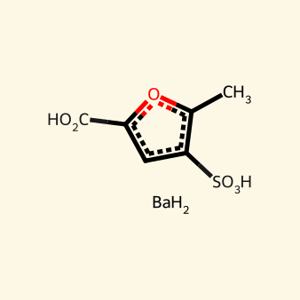 Cc1oc(C(=O)O)cc1S(=O)(=O)O.[BaH2]